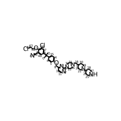 CC(C)(c1ccc(OCc2ccnc(N3CCN(CC4CCN(C5CCNCC5)CC4)CC3)n2)cc1)c1cc(Cl)c(OCCCl)c(C#N)c1